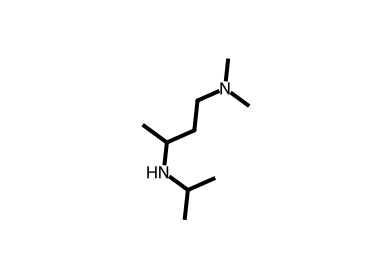 CC(C)NC(C)CCN(C)C